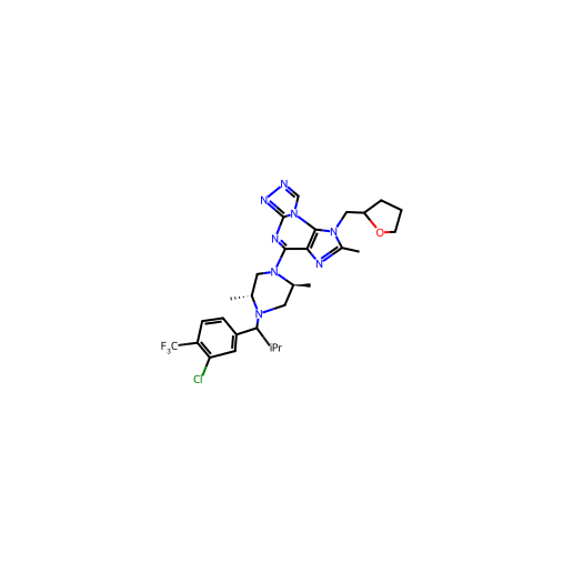 Cc1nc2c(N3C[C@@H](C)N(C(c4ccc(C(F)(F)F)c(Cl)c4)C(C)C)C[C@@H]3C)nc3nncn3c2n1CC1CCCO1